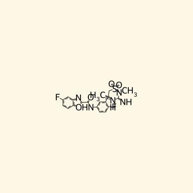 CN1C(=N)N[C@](C)(c2cc(NC(=O)c3nc4cc(F)ccc4o3)ccc2F)CS1(=O)=O